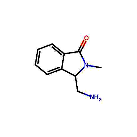 CN1C(=O)c2ccccc2C1CN